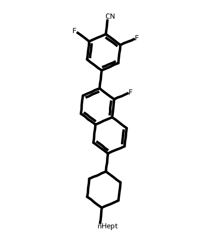 CCCCCCCC1CCC(c2ccc3c(F)c(-c4cc(F)c(C#N)c(F)c4)ccc3c2)CC1